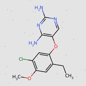 CCc1cc(OC)c(Cl)cc1Oc1cnc(N)nc1N